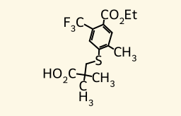 CCOC(=O)c1cc(C)c(SCC(C)(C)C(=O)O)cc1C(F)(F)F